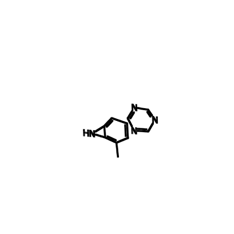 Cc1cccc2c1N2.c1ncncn1